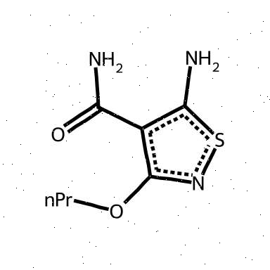 CCCOc1nsc(N)c1C(N)=O